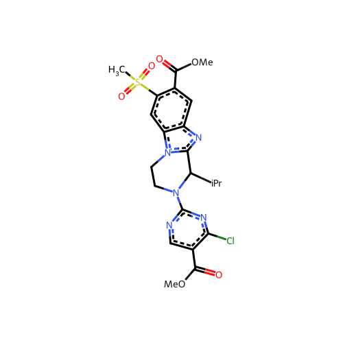 COC(=O)c1cc2nc3n(c2cc1S(C)(=O)=O)CCN(c1ncc(C(=O)OC)c(Cl)n1)C3C(C)C